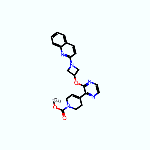 CC(C)(C)OC(=O)N1CC=C(c2nccnc2OC2CN(c3ccc4ccccc4n3)C2)CC1